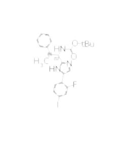 C[C@H](c1ccccc1)[C@H](NC(=O)OC(C)(C)C)c1ncc(-c2ccc(I)cc2F)[nH]1